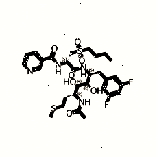 CCCCS(=O)(=O)C[C@@H](NC(=O)c1cccnc1)C(=O)N[C@@H](Cc1cc(F)cc(F)c1)[C@@H](O)[C@H](O)[C@@H](CCSC)NC(C)=O